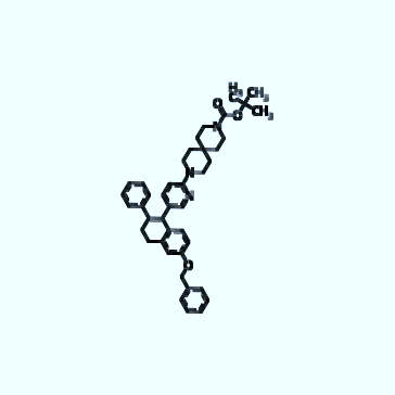 CC(C)(C)OC(=O)N1CCC2(CC1)CCN(c1ccc(C3=C(c4ccccc4)CCc4cc(OCc5ccccc5)ccc43)cn1)CC2